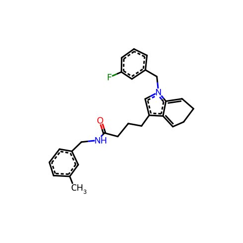 Cc1cccc(CNC(=O)CCCc2cn(Cc3cccc(F)c3)c3c2=CCCC=3)c1